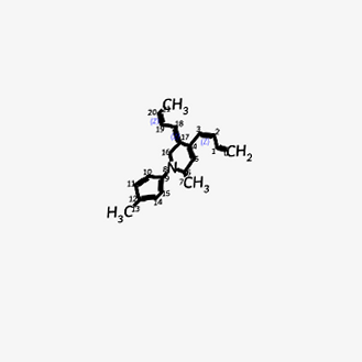 C=C/C=C\C1=CC(C)N(c2ccc(C)cc2)C/C1=C\C=C/C